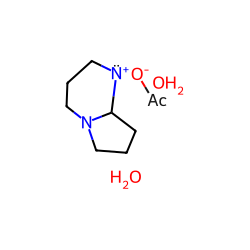 C1C[N+]C2CCCN2C1.CC(=O)[O-].O.O